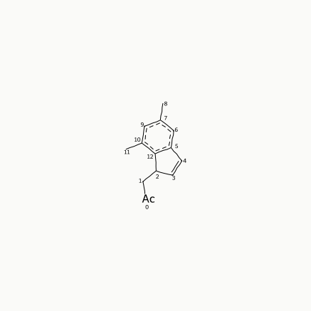 CC(=O)CC1C=Cc2cc(C)cc(C)c21